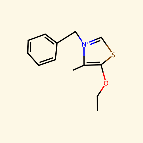 CCOc1sc[n+](Cc2ccccc2)c1C